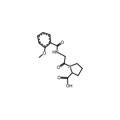 COc1ccccc1C(=O)NCC(=O)N1CCCC1C(=O)O